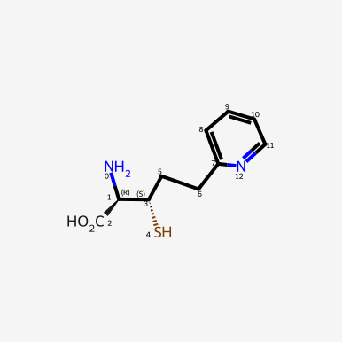 N[C@H](C(=O)O)[C@@H](S)CCc1ccccn1